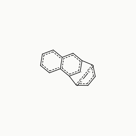 [c]1c2cc3ccccc3c1-c1ccc-2cc1